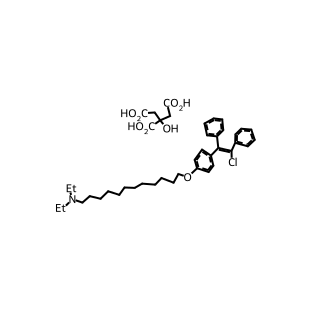 CCN(CC)CCCCCCCCCCCCOc1ccc(C(=C(Cl)c2ccccc2)c2ccccc2)cc1.O=C(O)CC(O)(CC(=O)O)C(=O)O